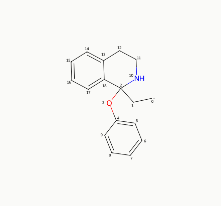 [CH2]CC1(Oc2ccccc2)NCCc2ccccc21